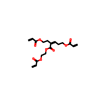 C=CC(=O)OCCC=C(CCOC(=O)C=C)C(=O)OCCOC(=O)C=C